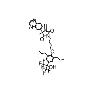 CCCc1cc(C(O)(C(F)(F)F)C(F)(F)F)cc(CCC)c1OCCCCN1C(=O)NC(C)(c2ccc3nccnc3c2)C1=O